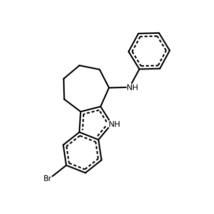 Brc1ccc2[nH]c3c(c2c1)CCCCC3Nc1ccccc1